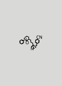 N#Cc1ccc(Cn2cncc2CCCC2CCCN(c3ccccc3)C2=O)cc1